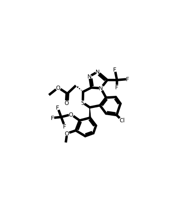 COC(=O)C[C@H]1S[C@H](c2cccc(OC)c2OC(F)(F)F)c2cc(Cl)ccc2-n2c1nnc2C(F)(F)F